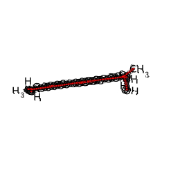 CCCCCCCCCCCC(CCCCCCCCCCC(=O)O)(C(=O)O)C(=O)NCCOCCOCCOCCOCCOCCOCCOCCOCCOCCOCCOCCOCCOCCOCCOCCOCCOCCOCCOCCOCCOCCOCCOCCOCCC(=O)NCCCN(C=O)CC(=O)NC